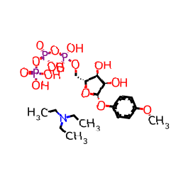 CCN(CC)CC.COc1ccc(O[C@@H]2O[C@H](COP(=O)(O)OP(=O)(O)OP(=O)(O)O)[C@@H](O)[C@H]2O)cc1